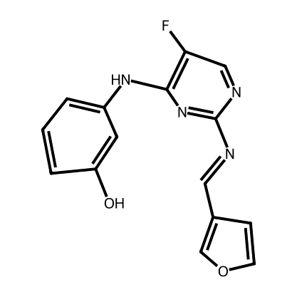 Oc1cccc(Nc2nc(N=Cc3ccoc3)ncc2F)c1